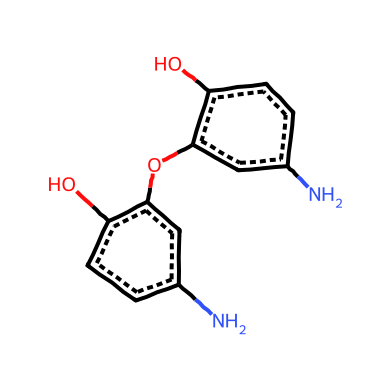 Nc1ccc(O)c(Oc2cc(N)ccc2O)c1